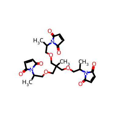 CC(COCC(C)(COCC(C)N1C(=O)C=CC1=O)COCC(C)N1C(=O)C=CC1=O)N1C(=O)C=CC1=O